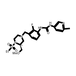 CCS(=O)(=O)N1CCN(Cc2cccc(NC(=O)Nc3ccc(C)nc3)c2F)C[C@H]1COC